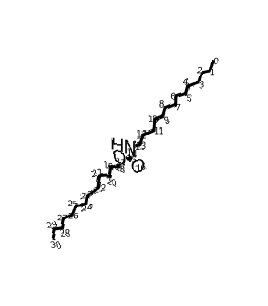 CCCCCCCCCCCCCCNC(=O)OCCCCCCCCCCCCC